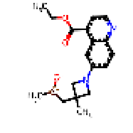 CCOC(=O)c1ccnc2ccc(N3CC(C)(C[S+](C)[O-])C3)cc12